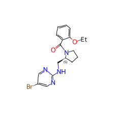 CCOc1ccccc1C(=O)N1CCC[C@H]1CNc1ncc(Br)cn1